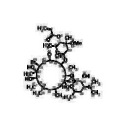 C=CC(=O)O[C@H]1[C@H](C)OC(O[C@H]2[C@H](C)[C@@H](OC3O[C@H](C)C[C@H](N(C)C)[C@H]3O)[C@](C)(O)C[C@@H](C)CN(C)[C@H](C)[C@@H](O)[C@](C)(O)[C@@H](CC)OC(=O)[C@@H]2C)C[C@]1(C)OC